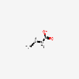 O=[Si](O)[SiH2][SiH2][SiH3]